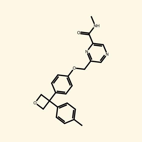 CNC(=O)c1cncc(COc2ccc(C3(c4ccc(C)cc4)COC3)cc2)n1